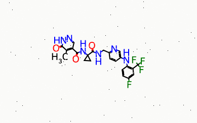 Cc1c(C(=O)NC2(C(=O)NCc3ccc(Nc4ccc(F)cc4C(F)(F)F)cn3)CC2)cn[nH]c1=O